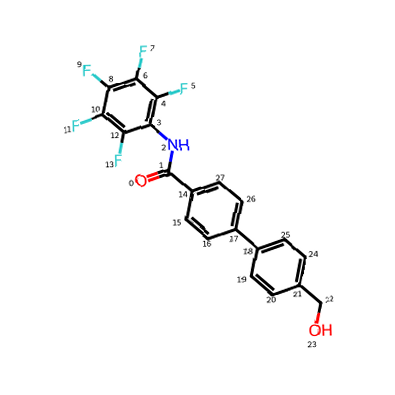 O=C(Nc1c(F)c(F)c(F)c(F)c1F)c1ccc(-c2ccc(CO)cc2)cc1